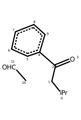 CC(C)CC(=O)c1ccccc1.CC=O